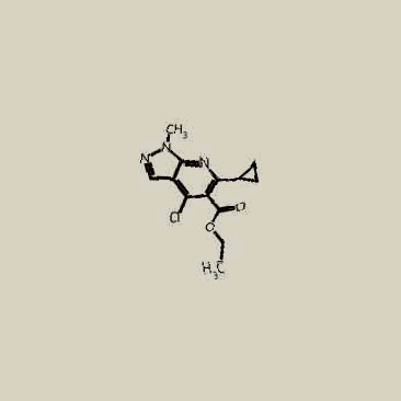 CCOC(=O)c1c(C2CC2)nc2c(cnn2C)c1Cl